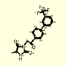 CC1NC(=O)N(CC(=O)c2ccc(-c3cccc(C(F)(F)F)c3)cc2)C1=O